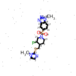 Cn1ccnc1SCC1CCN(S(=O)(=O)c2ccc3c(c2)nnn3C)CC1F